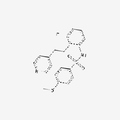 COc1ccc(S(=O)(=O)Nc2cccc(F)c2/C=C/c2ccncc2)cc1